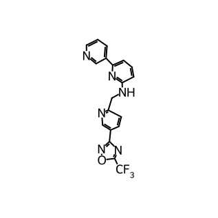 FC(F)(F)c1nc(-c2ccc(CNc3cccc(-c4cccnc4)n3)nc2)no1